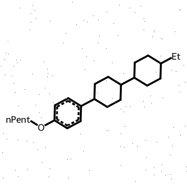 CCCCCOc1ccc(C2CCC(C3CCC(CC)CC3)CC2)cc1